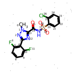 Cn1nc(-c2c(F)cccc2F)nc1C(=O)NS(=O)(=O)c1ccccc1Cl